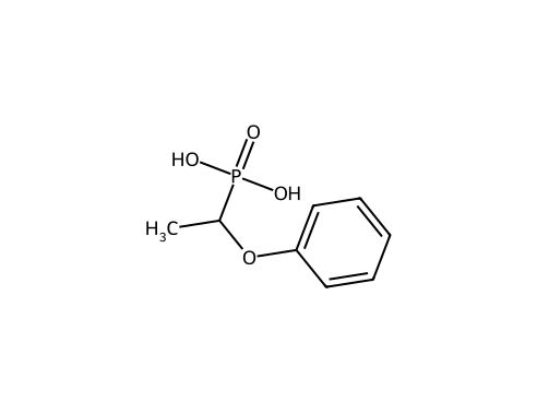 CC(Oc1ccccc1)P(=O)(O)O